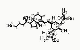 C=C(CCCC(C)(C)C)[C@H]1CC[C@H]2/C(=C/C=C3C[C@@H](O[Si](C)(C)C(C)(C)C)C(=C)[C@H](O[Si](C)(C)C(C)(C)C)C3)CCC[C@]12C